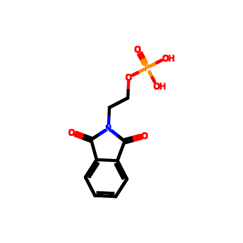 O=C1c2ccccc2C(=O)N1CCOP(=O)(O)O